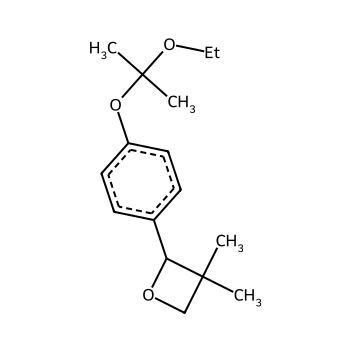 CCOC(C)(C)Oc1ccc(C2OCC2(C)C)cc1